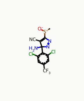 C[S+]([O-])C1=C(C#N)C(N)(c2c(Cl)cc(C(F)(F)F)cc2Cl)N=N1